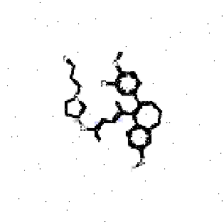 COc1ccc(C2=C(/C(C)=C/C=C(\C)O[C@H]3CCN(CCCF)C3)c3ccc(OF)cc3CCC2)cc1F